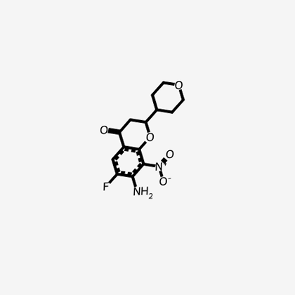 Nc1c(F)cc2c(c1[N+](=O)[O-])OC(C1CCOCC1)CC2=O